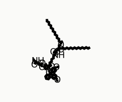 CCCCCCCCCCCCCCCOC(COC(=O)NCCCCCC(=O)N1C[C@H](OC(=O)CCC(=O)NC)C[C@H]1COC(c1ccccc1)(c1ccc(OC)cc1)c1ccc(OC)cc1)COC(C)CCCCCCCCCCCCCC